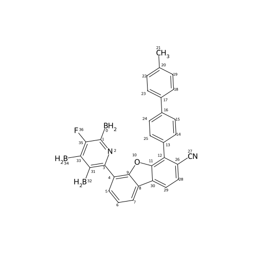 Bc1nc(-c2cccc3c2oc2c(-c4ccc(-c5ccc(C)cc5)cc4)c(C#N)ccc23)c(B)c(B)c1F